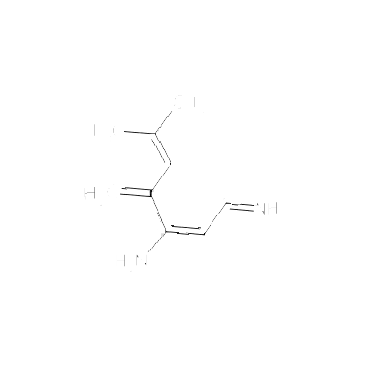 C=C(C=C(C)C)/C(N)=C\C=N